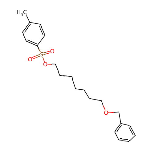 Cc1ccc(S(=O)(=O)OCCCCCCCOCc2ccccc2)cc1